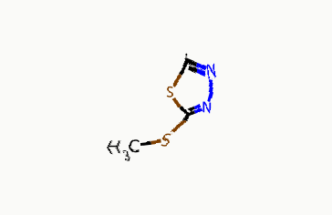 CSc1nn[c]s1